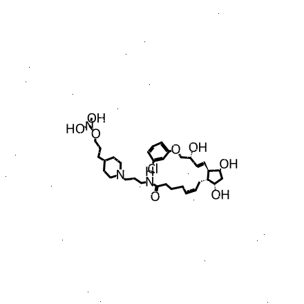 O=C(CCC/C=C\C[C@@H]1[C@@H](/C=C/[C@@H](O)COc2cccc(Cl)c2)[C@H](O)C[C@@H]1O)NCCCN1CCC(CCCON(O)O)CC1